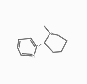 CN1CCCC[C@@H]1c1ccccn1